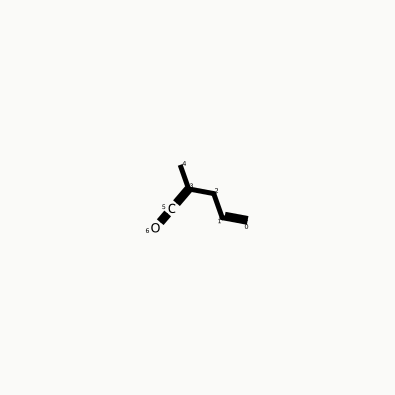 C=CCC(C)=C=O